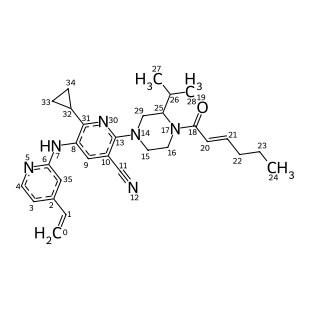 C=Cc1ccnc(Nc2cc(C#N)c(N3CCN(C(=O)/C=C/CCC)C(C(C)C)C3)nc2C2CC2)c1